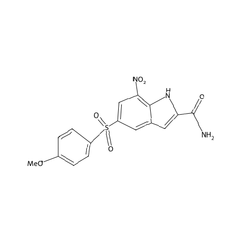 COc1ccc(S(=O)(=O)c2cc([N+](=O)[O-])c3[nH]c(C(N)=O)cc3c2)cc1